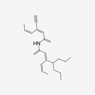 C#CC(/C=C\C)=C/C(=C)NC(=C)/C=C(\C=C/C)C(CCC)CCC